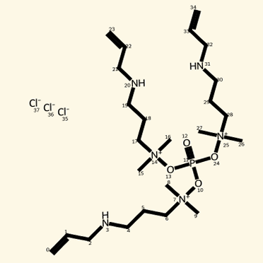 C=CCNCCC[N+](C)(C)OP(=O)(O[N+](C)(C)CCCNCC=C)O[N+](C)(C)CCCNCC=C.[Cl-].[Cl-].[Cl-]